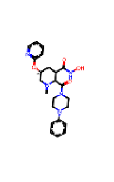 CN1C[C@@H](Oc2ccccn2)CC(C(=O)NO)C1C(=O)N1CCN(c2ccccc2)CC1